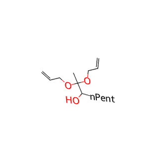 C=CCOC(C)(OCC=C)C(O)CCCCC